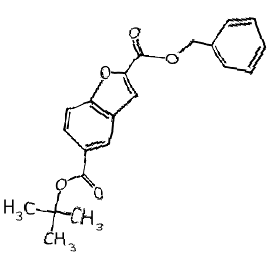 CC(C)(C)OC(=O)c1ccc2oc(C(=O)OCc3ccccc3)cc2c1